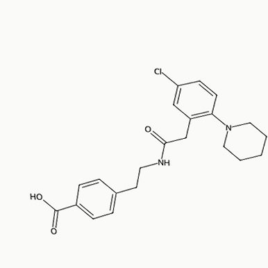 O=C(Cc1cc(Cl)ccc1N1CCCCC1)NCCc1ccc(C(=O)O)cc1